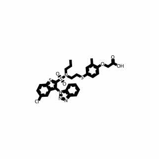 CCCN(CCSc1ccc(OCC(=O)O)c(C)c1)S(=O)(=O)c1sc2ccc(Cl)cc2c1-n1nnc2ccccc21